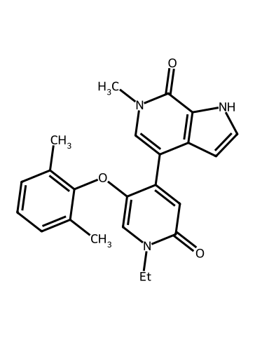 CCn1cc(Oc2c(C)cccc2C)c(-c2cn(C)c(=O)c3[nH]ccc23)cc1=O